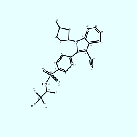 CC1CCC(n2c(-c3ccc(S(=O)(=O)N[C@@H](C)C(F)(F)F)cn3)c(C#N)c3cccnc32)C1